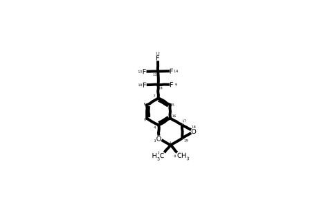 CC1(C)Oc2ccc(C(F)(F)C(F)(F)F)cc2C2OC21